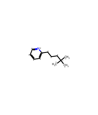 CC(C)(C)CCCc1ccccn1